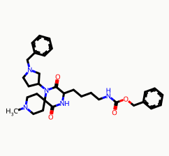 CN1CCC2(CC1)C(=O)NC(CCCCNC(=O)OCc1ccccc1)C(=O)N2C1CCN(Cc2ccccc2)C1